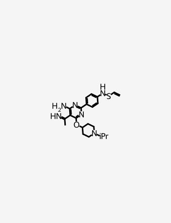 C=CSNc1ccc(-c2nc(N)c(C(C)=N)c(OC3CCN(C(C)C)CC3)n2)cc1